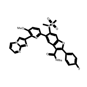 CNC(=O)c1c(-c2ccc(F)cc2)oc2cc(N(C)S(C)(=O)=O)c(-c3ccc(OC)c(-c4cn5cccnc5n4)n3)cc12